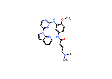 COc1ccc(NC(=O)/C=C/CN(C)C)cc1Nc1nccc(-n2ccc3cccnc32)n1